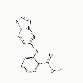 COC(=O)c1ccccc1Sc1ccc2nccn2n1